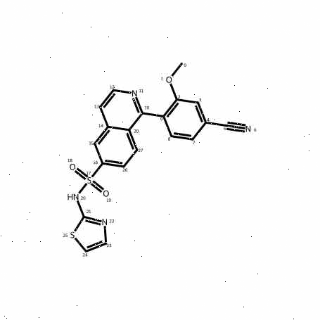 COc1cc(C#N)ccc1-c1nccc2cc(S(=O)(=O)Nc3nccs3)ccc12